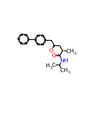 CC(C)NC(=O)[C@H](C)CC(=O)Cc1ccc(-c2ccccc2)cc1